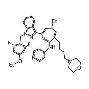 CCOc1cc(F)c(Cn2nc(C3=CC(CC)C=C(CCCCN4CCOCC4)C(Nc4ccncc4)=N3)c3ccccc32)c(F)c1